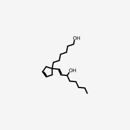 CCCCCC(O)C=CC1(CCCCCCO)CC=CC1